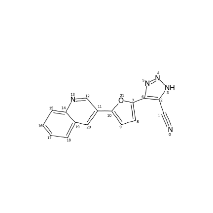 N#Cc1[nH]nnc1-c1ccc(-c2cnc3ccccc3c2)o1